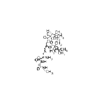 CCNC(=O)[C@H](CO)NC(=O)[C@@H](N)CSC[C@@H](COC(=O)C(C)(C)CC(C)(C)C)OC(=O)C(C)(C)CC(C)(C)C